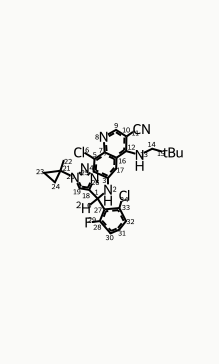 [2H]C(Nc1cc(Cl)c2ncc(C#N)c(NCC(C)(C)C)c2c1)(c1cn(C2(C)CC2)nn1)c1c(F)cccc1Cl